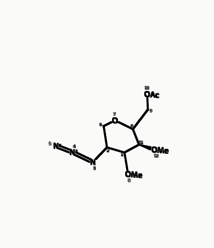 COC1C(N=[N+]=[N-])COC(COC(C)=O)[C@H]1OC